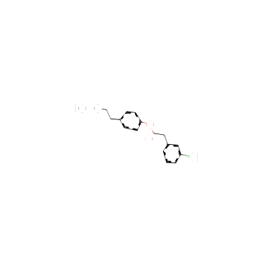 O=C(O)CCc1ccc(OC(=O)Cc2cccc(Cl)c2)cc1